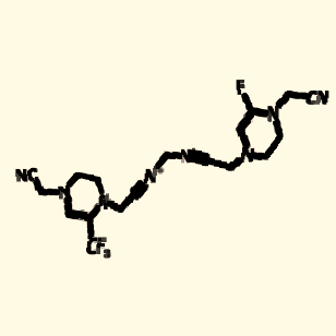 N#CCN1CCN(CC#[N+]C[N+]#CCN2CCN(CC#N)C(F)C2)C(C(F)(F)F)C1